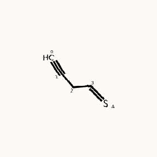 C#CC[C]=S